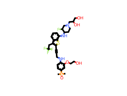 CP(C)(=O)c1ccc(NCC#Cc2sc3c(NC4CCN(CC(O)CO)CC4F)cccc3c2CC(F)(F)F)c(OCCO)c1